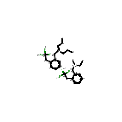 CC[CH2][In]([CH2]CC)[CH2]c1ccccc1CC(F)(F)F.C[CH2][Al]([CH3])[CH2]c1ccccc1CC(F)(F)F